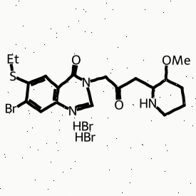 Br.Br.CCSc1cc2c(=O)n(CC(=O)CC3NCCCC3OC)cnc2cc1Br